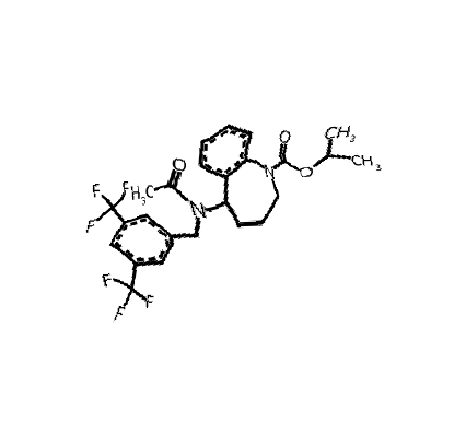 CC(=O)N(Cc1cc(C(F)(F)F)cc(C(F)(F)F)c1)C1CCCN(C(=O)OC(C)C)c2ccccc21